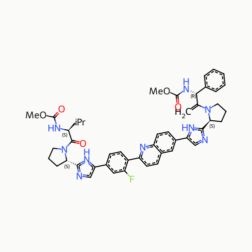 C=C([C@H](NC(=O)OC)c1ccccc1)N1CCC[C@H]1c1ncc(-c2ccc3nc(-c4ccc(-c5cnc([C@@H]6CCCN6C(=O)[C@@H](NC(=O)OC)C(C)C)[nH]5)cc4F)ccc3c2)[nH]1